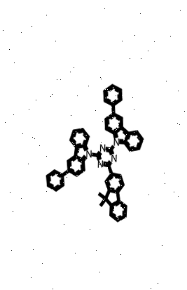 CC1(C)c2ccccc2-c2ccc(-c3nc(-n4c5ccccc5c5cc(-c6ccccc6)ccc54)nc(-n4c5ccccc5c5cc(-c6ccccc6)ccc54)n3)cc21